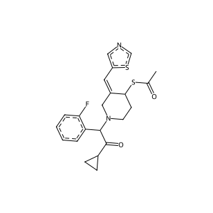 CC(=O)SC1CCN(C(C(=O)C2CC2)c2ccccc2F)C/C1=C/c1cncs1